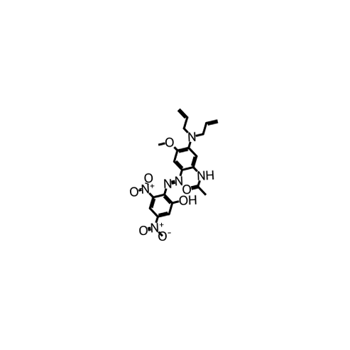 C=CCN(CC=C)c1cc(NC(C)=O)c(/N=N/c2c(O)cc([N+](=O)[O-])cc2[N+](=O)[O-])cc1OC